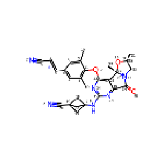 Cc1cc(/C=C/C#N)cc(C)c1Oc1nc(NC23CC(C#N)(C2)C3)nc2c1[C@]1(C)O[C@@H](C)CN1C2=O